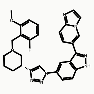 COc1cccc(F)c1CN1CCC[C@@H](c2cn(-c3ccc4[nH]nc(-c5ccc6nccn6c5)c4c3)nn2)C1